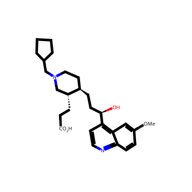 COc1ccc2nccc([C@H](O)CC[C@@H]3CCN(CC4CCCC4)C[C@H]3CCC(=O)O)c2c1